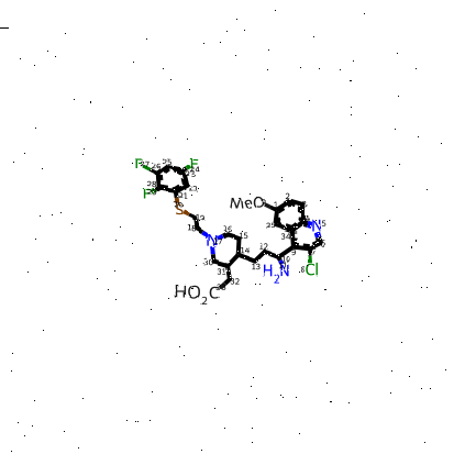 COc1ccc2ncc(Cl)c(C(N)CCC3CCN(CCSc4cc(F)cc(F)c4F)CC3CC(=O)O)c2c1